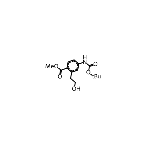 COC(=O)c1ccc(NC(=O)OC(C)(C)C)cc1CCO